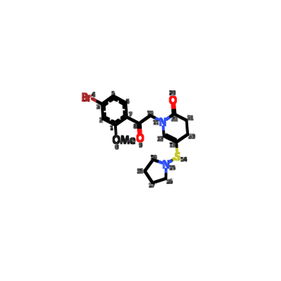 COc1cc(Br)ccc1C(=O)CN1C=C(SN2CCCC2)CCC1=O